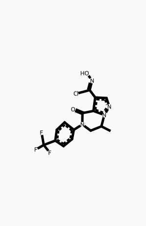 CC1CN(c2ccc(C(F)(F)F)cc2)C(=O)c2c(C(Cl)=NO)cnn21